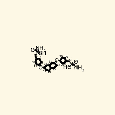 NC(=O)N(O)Cc1ccc(Oc2ccc3ccc(Oc4ccc(CN(O)C(N)=O)cc4)cc3c2)cc1